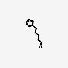 O=CCCCCc1cccs1